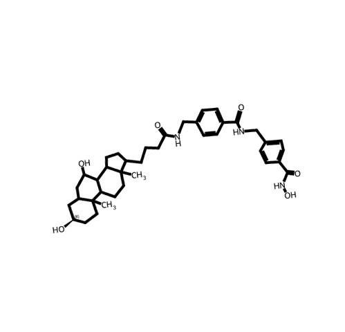 CC12CCC3C(C(O)CC4C[C@H](O)CCC43C)C1CCC2CCCC(=O)NCc1ccc(C(=O)NCc2ccc(C(=O)NO)cc2)cc1